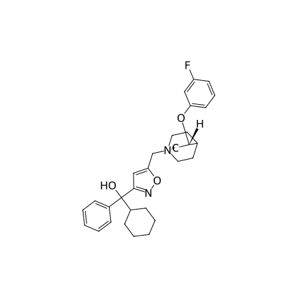 OC(c1ccccc1)(c1cc(C[N+]23CCC(CC2)[C@@H](Oc2cccc(F)c2)C3)on1)C1CCCCC1